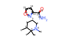 CC1CCCN(C)C1(C)C.NC(=O)c1ccon1